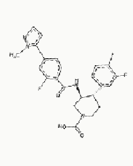 Cn1nccc1-c1ccc(C(=O)N[C@@H]2CN(C(=O)O)CC[C@H]2c2ccc(F)c(F)c2)c(F)c1